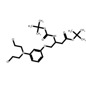 CC(C)(C)OC(=O)CC(COc1cccc(N(CCCl)CCCl)c1)NC(=O)OC(C)(C)C